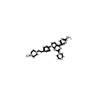 CC(=O)N1CCN(CCc2ccc(N3CCc4c(-c5cnc(N)nc5)nc(N5CCOCC5)nc43)cc2)CC1